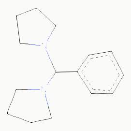 c1ccc(C(N2CCCC2)N2CCCC2)cc1